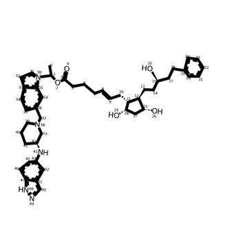 CC(OC(=O)CCCC=CC[C@@H]1[C@@H](CC[C@@H](O)CCc2ccccc2)[C@H](O)C[C@@H]1O)n1ccc2ccc(CN3CCC[C@@H](Nc4ccc5[nH]ncc5c4)C3)cc21